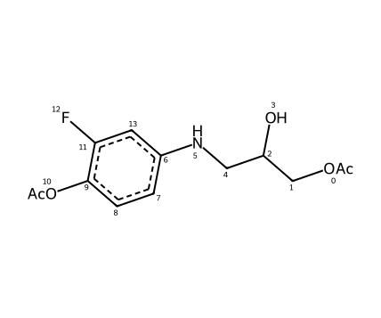 CC(=O)OCC(O)CNc1ccc(OC(C)=O)c(F)c1